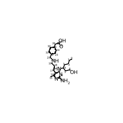 CCCCC(CCO)Nc1nc(N)nc(C)c1CCCNCc1ccc(CC(=O)O)cc1